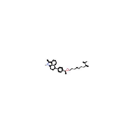 C=C(C)C(=C)CCCCCCCOC(=C)c1ccc(-c2ccc3c4c2cccc4c(=C)n3C)cc1